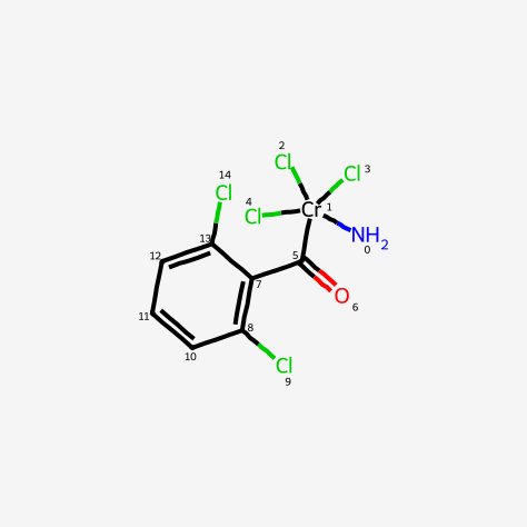 [NH2][Cr]([Cl])([Cl])([Cl])[C](=O)c1c(Cl)cccc1Cl